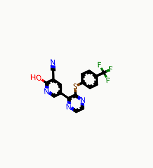 N#Cc1cc(-c2nccnc2Sc2ccc(C(F)(F)F)cc2)cnc1O